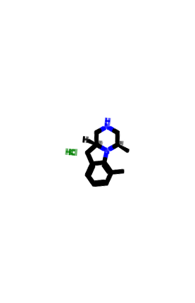 Cc1cccc2c1N1[C@@H](CNC[C@H]1C)C2.Cl